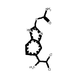 CC(c1ccc2[nH]c(OC(N)=O)nc2c1)C(Cl)Cl